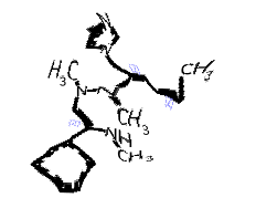 C/C=C\C=C(/N(C)N(C)/C=C(\NC)c1ccccc1)n1ccnc1